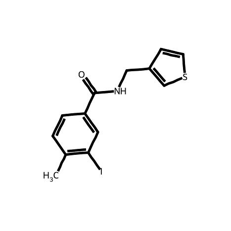 Cc1ccc(C(=O)NCc2ccsc2)cc1I